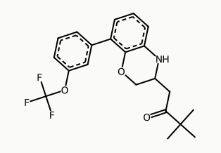 CC(C)(C)C(=O)CC1COc2c(cccc2-c2cccc(OC(F)(F)F)c2)N1